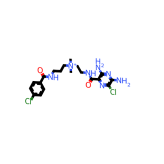 C[N+](C)(CCCNC(=O)c1ccc(Cl)cc1)CCNC(=O)c1nc(Cl)c(N)nc1N